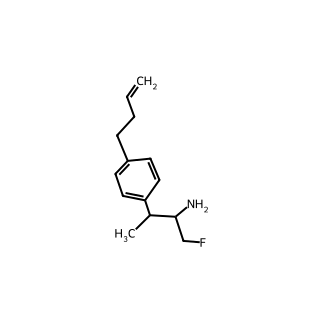 C=CCCc1ccc(C(C)C(N)CF)cc1